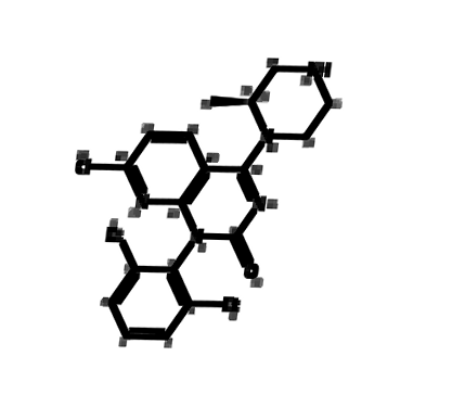 CCc1cccc(CC)c1-n1c(=O)nc(N2CCNC[C@@H]2C)c2ccc(Cl)nc21